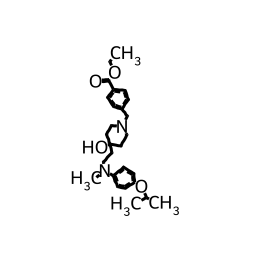 CCOC(=O)c1ccc(CN2CCC(O)(CCN(C)c3ccc(OC(C)C)cc3)CC2)cc1